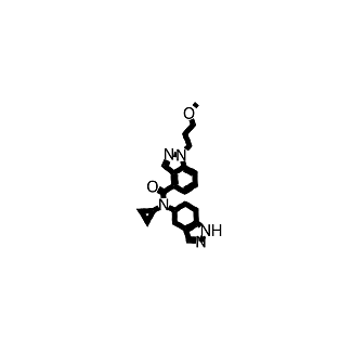 COCCCn1ncc2c(C(=O)N(C3CC3)C3CCc4[nH]ncc4C3)cccc21